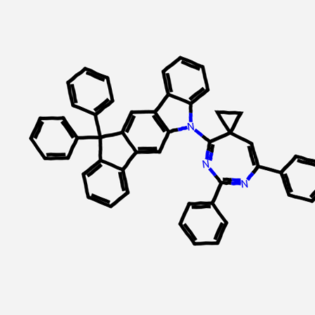 C1=C(c2ccccc2)N=C(c2ccccc2)N=C(n2c3ccccc3c3cc4c(cc32)-c2ccccc2C4(c2ccccc2)c2ccccc2)C12CC2